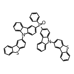 O=P(c1ccccc1)(c1ccc2c(c1)c1ccccc1n2-c1ccc2sc3ccccc3c2c1)c1ccc2c(c1)c1ccccc1n2-c1ccc2sc3ccccc3c2c1